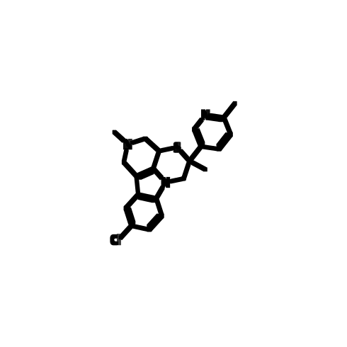 Cc1ccc(C2(C)Cn3c4c(c5cc(Cl)ccc53)CN(C)CC4S2)cn1